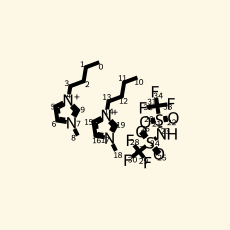 CCCC[n+]1ccn(C)c1.CCCC[n+]1ccn(C)c1.O=S(=O)(NS(=O)(=O)C(F)(F)F)C(F)(F)F